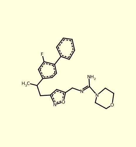 CC(Cc1cc(CN=C(N)N2CCOCC2)on1)c1ccc(-c2ccccc2)c(F)c1